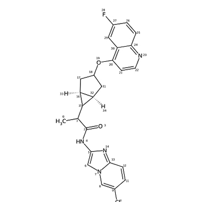 CC(C(=O)Nc1cn2cc(C(F)(F)F)ccc2n1)C1[C@H]2CC(Oc3ccnc4ccc(F)cc34)C[C@@H]12